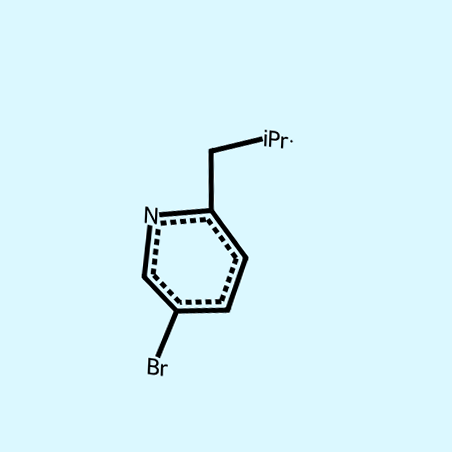 C[C](C)Cc1ccc(Br)cn1